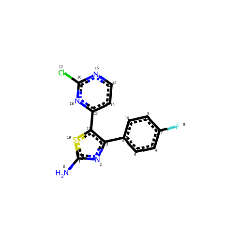 Nc1nc(-c2ccc(F)cc2)c(-c2ccnc(Cl)n2)s1